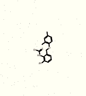 CCC(=S)Nc1c(COc2ccc(C)cc2C)cccc1C(C)C